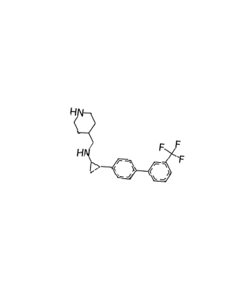 FC(F)(F)c1cccc(-c2ccc(C3CC3NCC3CCNCC3)cc2)c1